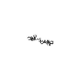 Cc1c(CSc2nc3ccccc3[nH]2)cccc1SCCNC(=O)c1cc2ccccc2o1